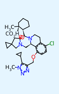 Cn1nnc(COc2ccc(Cl)c3c2[C@@H](CN2CC4(CC4)CC2=O)N(C(=O)[C@@H]2CCCC[C@]2(C)C(=O)O)CC3)c1C1CC1